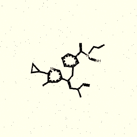 C=CC(C)/C=C(\Cc1cccc(C(=C)N(C=N)CCC)c1)c1cnc(C2CC2)c(C)c1